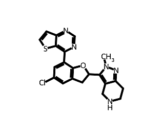 Cn1nc2c(c1C1Cc3cc(Cl)cc(-c4ncnc5ccsc45)c3O1)CNCC2